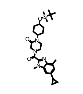 Cc1cc(C2CC2)cc2c1nc(C(=O)N1CCN([C@H]3CC[C@H](O[Si](C)(C)C(C)(C)C)CC3)C(=O)C1)n2C